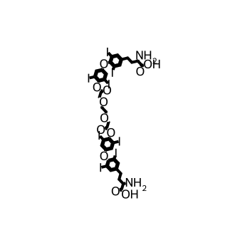 NC(CCc1cc(I)c(Oc2cc(I)c(OC(=O)COCCOCC(=O)Oc3c(I)cc(Oc4c(I)cc(CCC(N)C(=O)O)cc4I)cc3I)c(I)c2)c(I)c1)C(=O)O